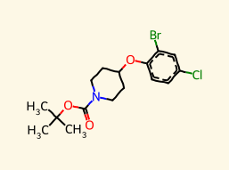 CC(C)(C)OC(=O)N1CCC(Oc2ccc(Cl)cc2Br)CC1